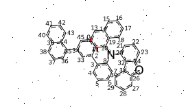 c1cc(-c2ccccc2N(c2cccc3ccccc23)c2cccc3oc4ccccc4c23)cc(-c2cccc3ccccc23)c1